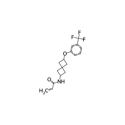 C=CC(=O)NC1CC2(C1)CC(Oc1cccc(C(F)(F)F)c1)C2